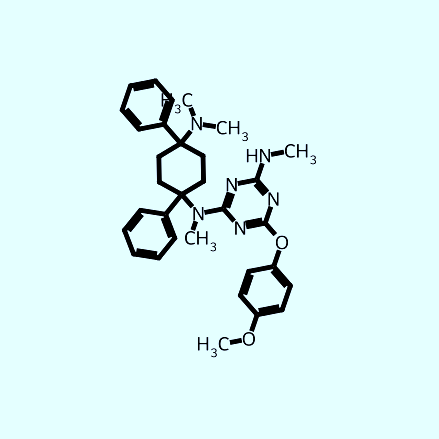 CNc1nc(Oc2ccc(OC)cc2)nc(N(C)C2(c3ccccc3)CCC(c3ccccc3)(N(C)C)CC2)n1